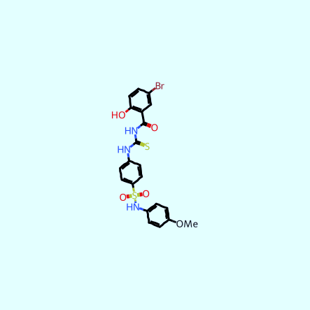 COc1ccc(NS(=O)(=O)c2ccc(NC(=S)NC(=O)c3cc(Br)ccc3O)cc2)cc1